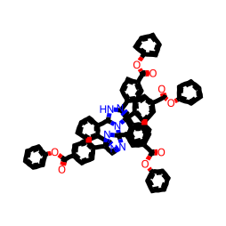 N#Cc1ccccc1C1NC(c2ccc(C(=O)Oc3ccccc3)cc2)C(c2ccc(C(=O)Oc3ccccc3)cc2)(c2ccc(C(=O)Oc3ccccc3)cc2)N1C1(c2ccccc2C#N)N=CC(c2ccc(C(=O)Oc3ccccc3)cc2)=N1